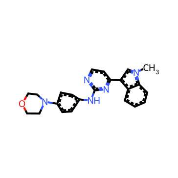 Cn1cc(-c2ccnc(Nc3ccc(N4CCOCC4)cc3)n2)c2ccccc21